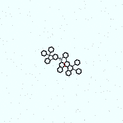 c1ccc(-c2c(-c3ccccc3)c3cc(-c4ccccc4N(c4ccc5c(c4)-c4ccccc4C5(c4ccccc4)c4ccccc4)c4ccc5ccccc5c4)ccc3c3ccccc23)cc1